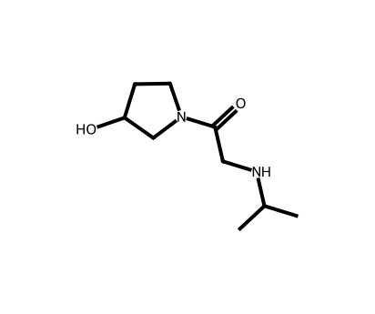 CC(C)NCC(=O)N1CCC(O)C1